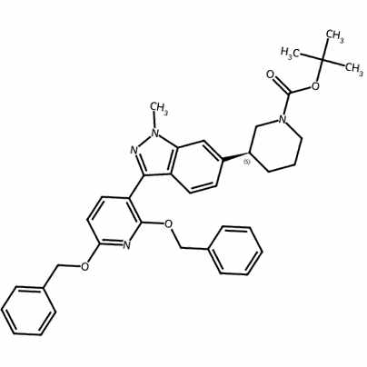 Cn1nc(-c2ccc(OCc3ccccc3)nc2OCc2ccccc2)c2ccc([C@@H]3CCCN(C(=O)OC(C)(C)C)C3)cc21